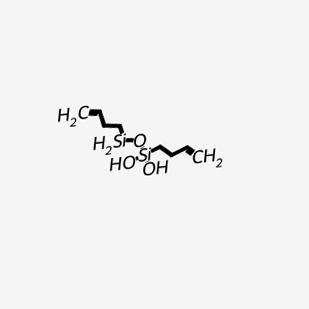 C=CCC[SiH2]O[Si](O)(O)CCC=C